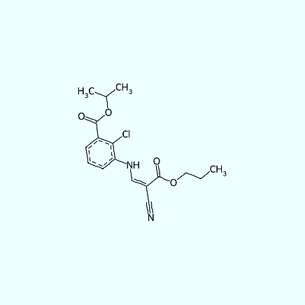 CCCOC(=O)C(C#N)=CNc1cccc(C(=O)OC(C)C)c1Cl